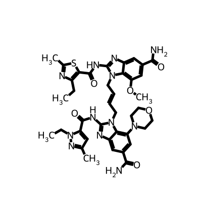 CCc1nc(C)sc1C(=O)Nc1nc2cc(C(N)=O)cc(OC)c2n1C/C=C/Cn1c(NC(=O)c2cc(C)nn2CC)nc2cc(C(N)=O)cc(N3CCOCC3)c21